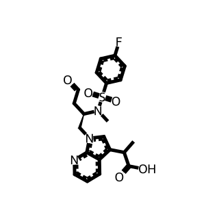 CC(C(=O)O)c1cn(C[C@@H](CC=O)N(C)S(=O)(=O)c2ccc(F)cc2)c2ncccc12